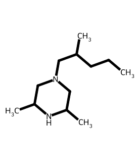 CCCC(C)CN1CC(C)NC(C)C1